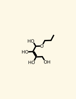 CCCOC(O)/C(O)=C(/O)CO